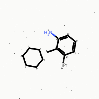 C1CCCCC1.Cc1c(N)cccc1C(C)C